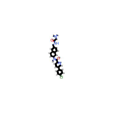 CN(C)CC(=O)NCc1ccc2c(c1)CCC(N(C)C(=O)c1ccc(-c3ccc(Cl)cc3)cn1)C2